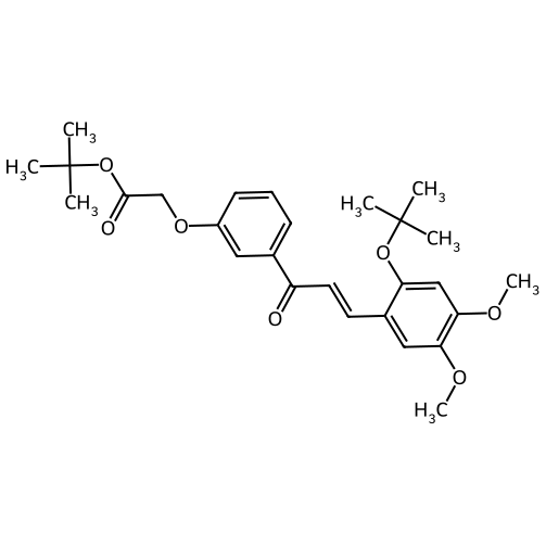 COc1cc(C=CC(=O)c2cccc(OCC(=O)OC(C)(C)C)c2)c(OC(C)(C)C)cc1OC